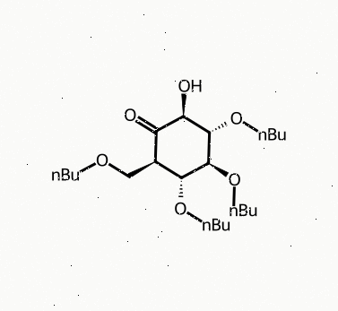 CCCCOC[C@H]1C(=O)[C@@H](O)[C@H](OCCCC)[C@@H](OCCCC)[C@@H]1OCCCC